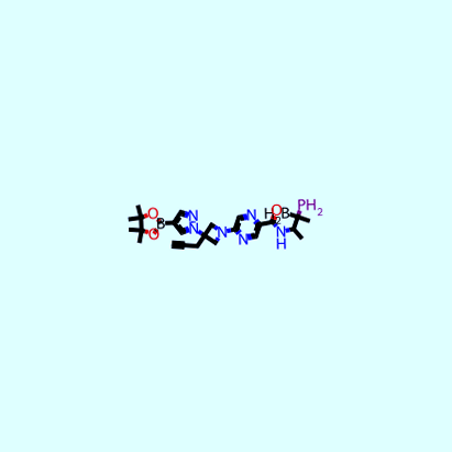 BC(C)(P)C(C)NC(=O)c1cnc(N2CC(CC#C)(n3cc(B4OC(C)(C)C(C)(C)O4)cn3)C2)cn1